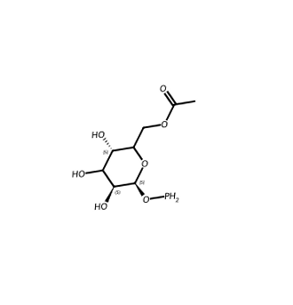 CC(=O)OCC1O[C@@H](OP)[C@@H](O)C(O)[C@@H]1O